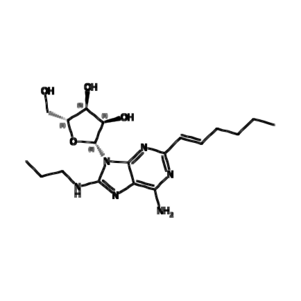 CCCCC=Cc1nc(N)c2nc(NCCC)n([C@@H]3O[C@H](CO)[C@@H](O)[C@H]3O)c2n1